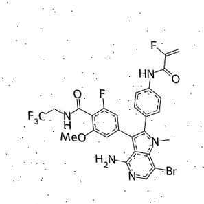 C=C(F)C(=O)Nc1ccc(-c2c(-c3cc(F)c(C(=O)NCC(F)(F)F)c(OC)c3)c3c(N)ncc(Br)c3n2C)cc1